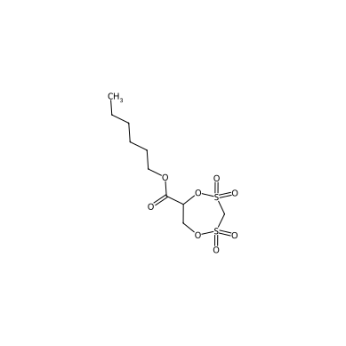 CCCCCCOC(=O)C1COS(=O)(=O)CS(=O)(=O)O1